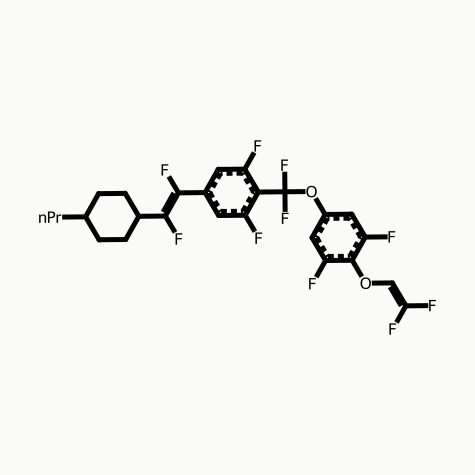 CCCC1CCC(/C(F)=C(\F)c2cc(F)c(C(F)(F)Oc3cc(F)c(OC=C(F)F)c(F)c3)c(F)c2)CC1